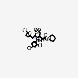 O=C(NN1CCCCCC1)c1nn(-c2ccc(Cl)cc2Cl)c2c1CS(=O)(=O)C/C2=C\C1=CCC(Cl)O1